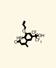 C=CCOc1cc(C(O)(C(F)(F)F)C(F)(F)F)cc2c(C)cc(=O)[nH]c12